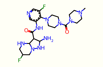 CN1CCN(C(=O)N2CCN(c3c(F)cncc3NC(=O)C3C(N)NN4CC(F)CNC34)CC2)CC1